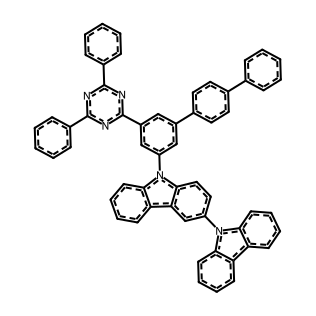 c1ccc(-c2ccc(-c3cc(-c4nc(-c5ccccc5)nc(-c5ccccc5)n4)cc(-n4c5ccccc5c5cc(-n6c7ccccc7c7ccccc76)ccc54)c3)cc2)cc1